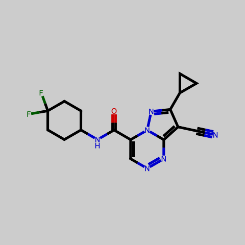 N#Cc1c(C2CC2)nn2c(C(=O)NC3CCC(F)(F)CC3)cnnc12